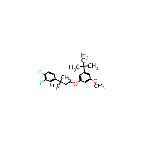 COc1cc(OCCC(C)(C)c2ccc(F)c(F)c2)cc(C(C)(C)C)c1